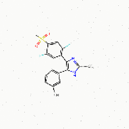 CS(=O)(=O)c1cc(F)c(-c2nc(C(F)(F)F)[nH]c2-c2cccc(C#N)c2)cc1F